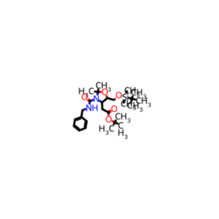 CC(C)(C)OC(=O)CC1C(CO[Si](C)(C)C(C)(C)C)OC(C)(C)N1C(=O)NCc1ccccc1